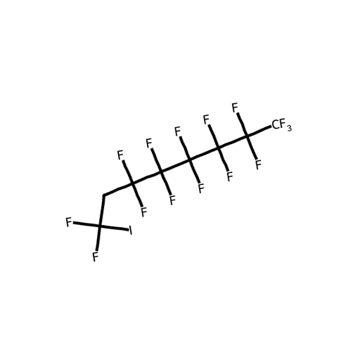 FC(F)(I)CC(F)(F)C(F)(F)C(F)(F)C(F)(F)C(F)(F)C(F)(F)F